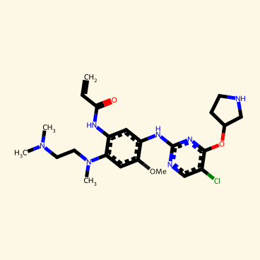 C=CC(=O)Nc1cc(Nc2ncc(Cl)c(OC3CCNC3)n2)c(OC)cc1N(C)CCN(C)C